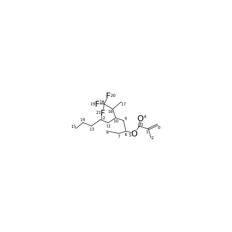 C=C(C)C(=O)OC(CC)CC(CCCCC)C(C)C(F)(F)F